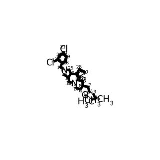 CO[C@@H](CC(C)C)CC1CCN(CC2CN(Cc3ccc(Cl)cc3Cl)CC2c2ccsc2)CC1